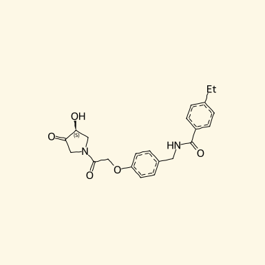 CCc1ccc(C(=O)NCc2ccc(OCC(=O)N3CC(=O)[C@@H](O)C3)cc2)cc1